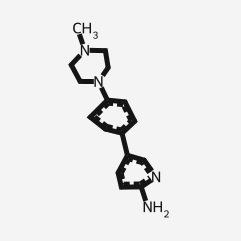 CN1CCN(c2ccc(-c3ccc(N)nc3)cc2)CC1